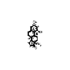 C[C@]12C(=CC[C@@H]3[C@@H]1CC[C@]1(C)C(=O)CC[C@@H]31)C[C@@H](O)C[C@@H]2O